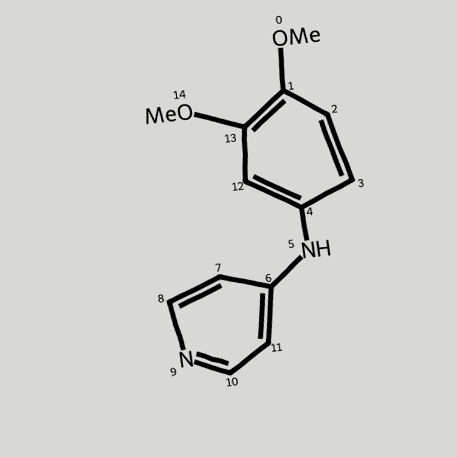 COc1ccc(Nc2ccncc2)cc1OC